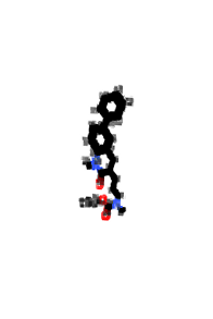 CN(CCCC1Cc2cc(-c3ccccc3)ccc2N(C)C1=O)C(=O)OC(C)(C)C